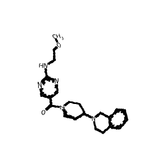 COCCNc1ncc(C(=O)N2CCC(N3CCc4ccccc4C3)CC2)cn1